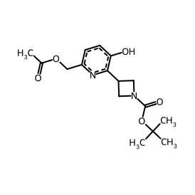 CC(=O)OCc1ccc(O)c(C2CN(C(=O)OC(C)(C)C)C2)n1